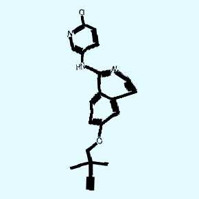 C#CC(C)(C)COc1ccc2c(Nc3ccc(Cl)nc3)nccc2c1